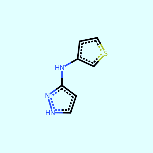 c1cc(Nc2ccsc2)n[nH]1